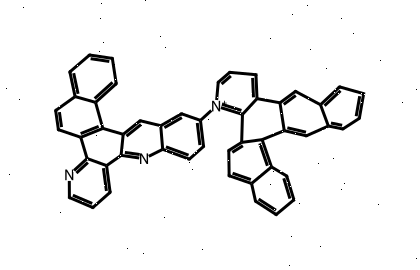 c1ccc2cc3c(cc2c1)c1ccc[n+](-c2ccc4nc5c6cccnc6c6ccc7ccccc7c6c5cc4c2)c1c1ccc2ccccc2c31